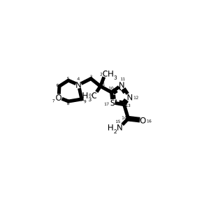 CC(C)(CN1CCOCC1)c1nnc(C(N)=O)s1